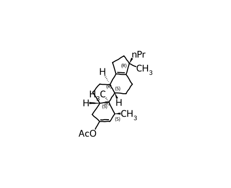 CCC[C@]1(C)CCC2=C1CC[C@H]1[C@H]2CC[C@H]2CC(OC(C)=O)=C[C@H](C)[C@@]21C